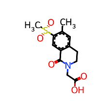 Cc1cc2c(cc1S(C)(=O)=O)C(=O)N(CC(=O)O)CC2